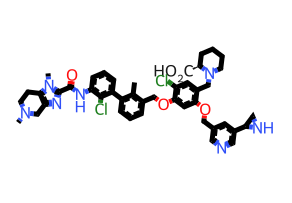 Cc1c(COc2cc(OCc3cncc(C4CN4)c3)c(CN3CCCC[C@H]3C(=O)O)cc2Cl)cccc1-c1cccc(NC(=O)c2nc3c(n2C)CCN(C)C3)c1Cl